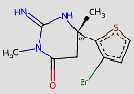 CN1C(=N)N[C@](C)(c2sccc2Br)CC1=O